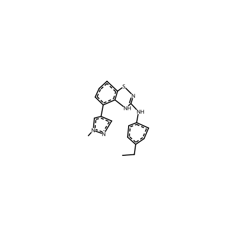 CCc1ccc(NC2=NSc3cccc(-c4cnn(C)c4)c3N2)cc1